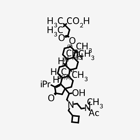 CC(=O)N(C)CCN(CC1CCC1)CC(O)C12CC[C@]3(C)[C@H](CC[C@@H]4[C@@]5(C)CC[C@H](OC(=O)CC(C)(C)C(=O)O)C(C)(C)[C@H]5CC[C@]43C)C1=C(C(C)C)C(=O)C2